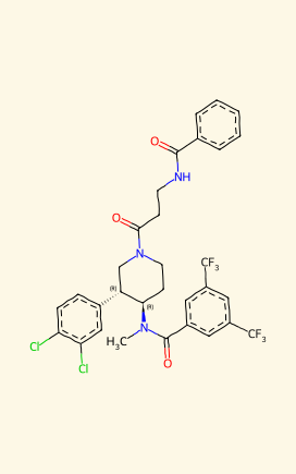 CN(C(=O)c1cc(C(F)(F)F)cc(C(F)(F)F)c1)[C@@H]1CCN(C(=O)CCNC(=O)c2ccccc2)C[C@H]1c1ccc(Cl)c(Cl)c1